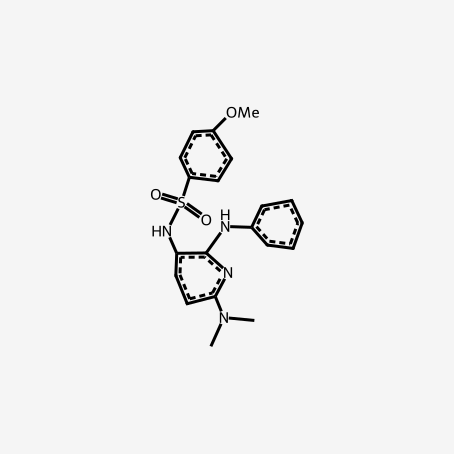 COc1ccc(S(=O)(=O)Nc2ccc(N(C)C)nc2Nc2ccccc2)cc1